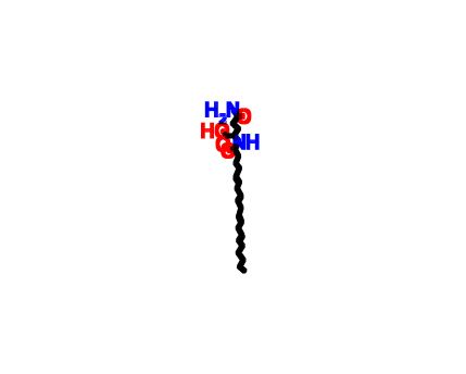 CCCCCC=CCC=CCC=CCC=CCCCC(=O)NC(CCC(N)=O)C(=O)O